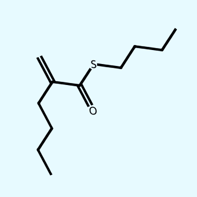 C=C(CCCC)C(=O)SCCCC